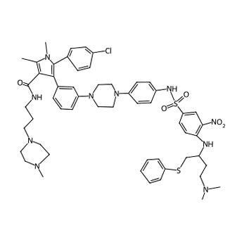 Cc1c(C(=O)NCCCN2CCN(C)CC2)c(-c2cccc(N3CCN(c4ccc(NS(=O)(=O)c5ccc(NC(CCN(C)C)CSc6ccccc6)c([N+](=O)[O-])c5)cc4)CC3)c2)c(-c2ccc(Cl)cc2)n1C